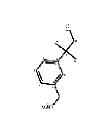 COCc1cccc(C(C)(C)CCl)c1